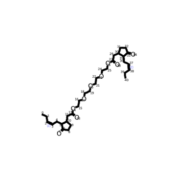 CC/C=C\CC1C(=O)CCC1CC(=O)OCCOCCOCCOCCOC(=O)CC1CCC(=O)C1C/C=C\CC